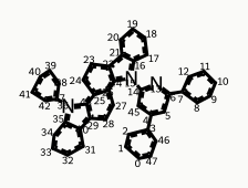 c1ccc(-c2cc(-c3ccccc3)nc(-n3c4ccccc4c4ccc5c(ccc6c7ccccc7n(-c7ccccc7)c65)c43)c2)cc1